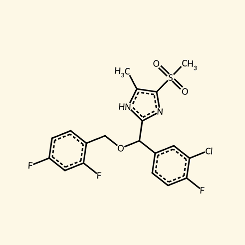 Cc1[nH]c(C(OCc2ccc(F)cc2F)c2ccc(F)c(Cl)c2)nc1S(C)(=O)=O